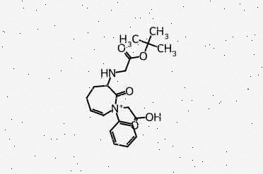 CC(C)(C)OC(=O)CNC1CCC=C[N+](CC(=O)O)(c2ccccc2)C1=O